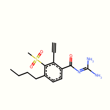 C#Cc1c(C(=O)N=C(N)N)ccc(CCCC)c1S(C)(=O)=O